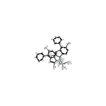 CCC1=Cc2c(ccc(C(C)C)c2-c2ccccc2)[CH]1[Zr]([Cl])([Cl])([CH]1C(CC)=Cc2c1ccc(C(C)C)c2-c1ccccc1)[SiH](C)C